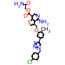 Cc1ccc(-c2cn(Cc3ccc(Cl)cc3)nn2)cc1OCc1csc2c(C(=O)OCC(N)=O)cnc(N)c12